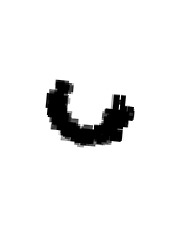 O=C1CCC(N2Cc3cc(C4CCN(Cc5ccc(-c6ccc(Oc7ncc(C8CC8)cn7)cn6)cc5)CC4)ccc3C2=O)C(=O)N1